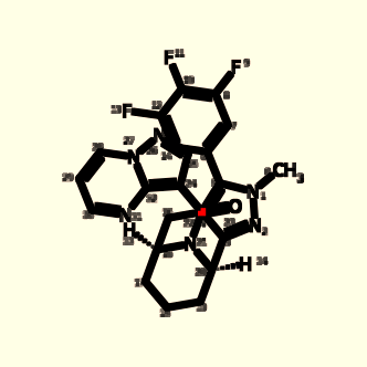 Cn1nc2c(c1-c1cc(F)c(F)c(F)c1)C[C@@H]1CCC[C@H]2N1C(=O)c1cnn2cccnc12